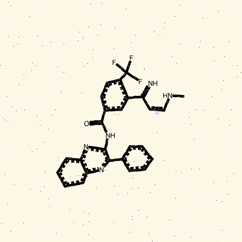 CN/C=C\C(=N)c1cc(C(=O)Nc2nc3ccccc3nc2-c2ccccc2)ccc1C(F)(F)F